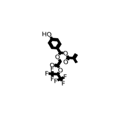 C=C(C)C(=O)OC(OCC(=O)OC(C(F)(F)F)C(F)(F)F)c1ccc(O)cc1